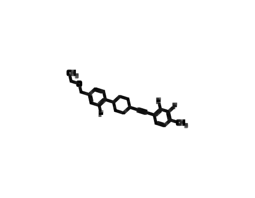 CCOCc1ccc(C2CCC(C#Cc3ccc(C)c(F)c3F)CC2)c(F)c1